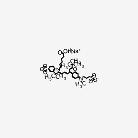 CC[N+](CCCS(=O)(=O)[O-])=c1ccc2c(C=CC=C3N(CCCCCC(=O)O)c4ccc(S(=O)(=O)[O-])cc4C3(C)C)cc(C(C)(C)C)oc-2c1.[Na+]